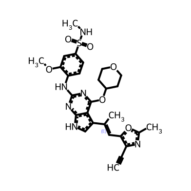 C#Cc1nc(C)oc1/C=C(\C)c1c[nH]c2nc(Nc3ccc(S(=O)(=O)NC)cc3OC)nc(OC3CCOCC3)c12